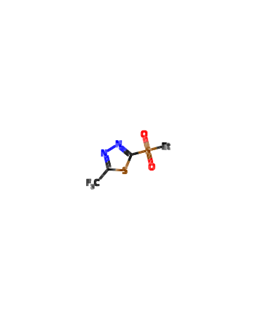 CCS(=O)(=O)c1nnc(C(F)(F)F)s1